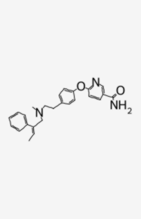 CC=C(CN(C)CCc1ccc(Oc2ccc(C(N)=O)cn2)cc1)c1ccccc1